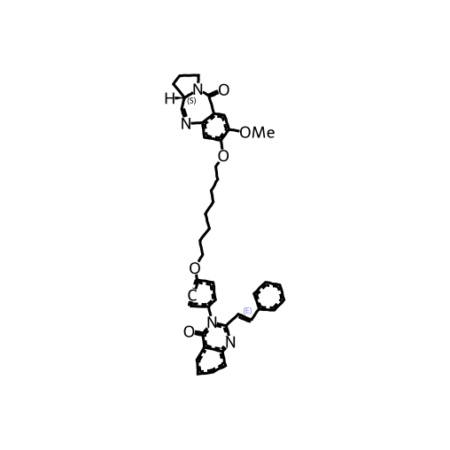 COc1cc2c(cc1OCCCCCCCCOc1ccc(-n3c(/C=C/c4ccccc4)nc4ccccc4c3=O)cc1)N=C[C@@H]1CCCN1C2=O